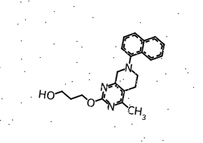 Cc1nc(OCCCO)nc2c1CCN(c1cccc3ccccc13)C2